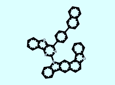 c1ccc2cc(-c3ccc(-c4nc(-n5c6ccccc6c6cc7ccc8oc9ccccc9c8c7cc65)nc5c4oc4ccccc45)cc3)ccc2c1